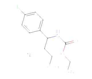 CC(=O)OCOC(=O)NC(CCC(=O)[O-])c1ccc(Cl)cc1.[Na+]